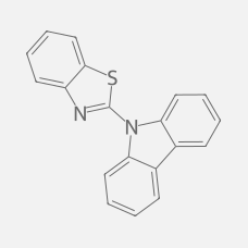 c1ccc2sc(-n3c4ccccc4c4ccccc43)nc2c1